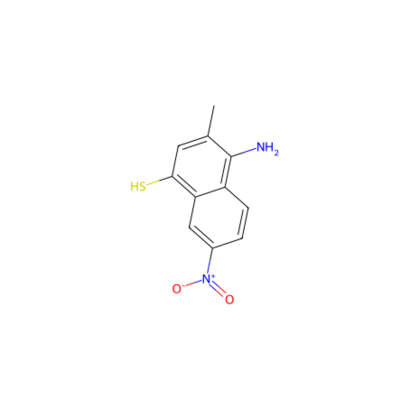 Cc1cc(S)c2cc([N+](=O)[O-])ccc2c1N